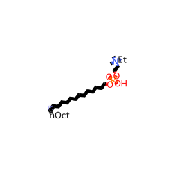 CCCCCCCC/C=C\CCCCCCCCCCCCOP(=O)(O)OCC[N+](C)(C)CC